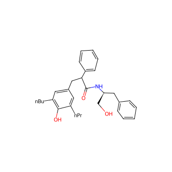 CCCCc1cc(CC(C(=O)N[C@H](CO)Cc2ccccc2)c2ccccc2)cc(CCC)c1O